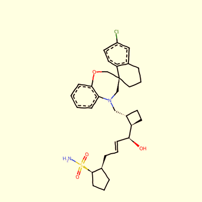 NS(=O)(=O)[C@@H]1CCC[C@@H]1C/C=C/[C@H](O)[C@@H]1CC[C@H]1CN1C[C@@]2(CCCc3cc(Cl)ccc32)COc2ccccc21